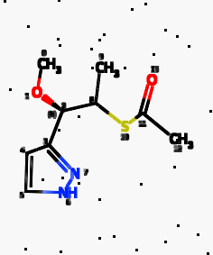 CO[C@H](c1cc[nH]n1)C(C)SC(C)=O